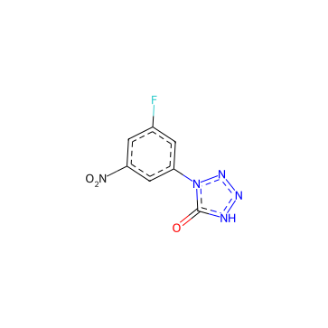 O=c1[nH]nnn1-c1cc(F)cc([N+](=O)[O-])c1